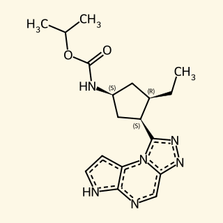 CC[C@@H]1C[C@H](NC(=O)OC(C)C)C[C@@H]1c1nnc2cnc3[nH]ccc3n12